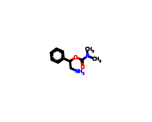 CN(C)C(=O)OC(CN)c1ccccc1